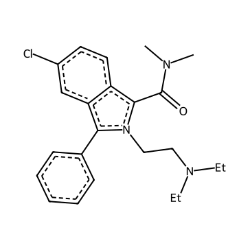 CCN(CC)CCn1c(C(=O)N(C)C)c2ccc(Cl)cc2c1-c1ccccc1